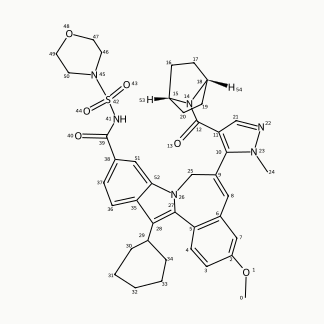 COc1ccc2c(c1)C=C(c1c(C(=O)N3[C@H]4CC[C@@H]3CC4)cnn1C)Cn1c-2c(C2CCCCC2)c2ccc(C(=O)NS(=O)(=O)N3CCOCC3)cc21